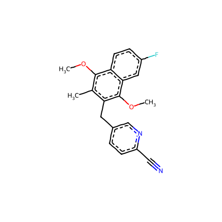 COc1c(C)c(Cc2ccc(C#N)nc2)c(OC)c2cc(F)ccc12